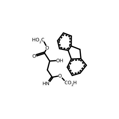 N=C(CC(O)C(=O)OC(=O)O)OC(=O)O.c1ccc2c(c1)Cc1ccccc1-2